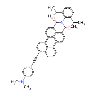 CC(C)c1cccc(C(C)C)c1N1C(=O)c2ccc3c4ccc(C#Cc5ccc(N(C)C)cc5)c5cccc(c6ccc(c2c36)C1O)c54